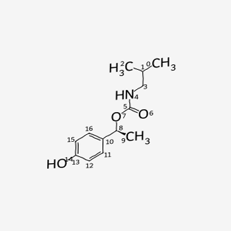 CC(C)CNC(=O)O[C@@H](C)c1ccc(O)cc1